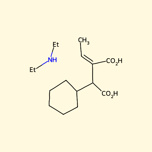 CC=C(C(=O)O)C(C(=O)O)C1CCCCC1.CCNCC